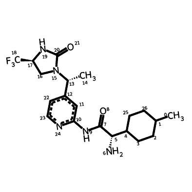 CC1CCC([C@H](N)C(=O)Nc2cc([C@@H](C)N3C[C@@H](C(F)(F)F)NC3=O)ccn2)CC1